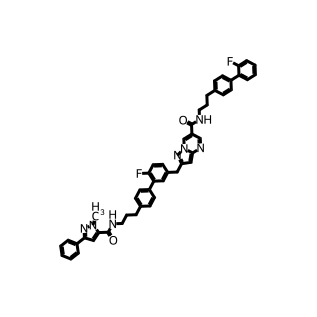 Cn1nc(-c2ccccc2)cc1C(=O)NCCCc1ccc(-c2cc(Cc3cc4ncc(C(=O)NCCCc5ccc(-c6ccccc6F)cc5)cn4n3)ccc2F)cc1